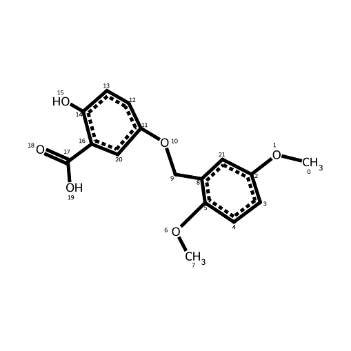 COc1ccc(OC)c(COc2ccc(O)c(C(=O)O)c2)c1